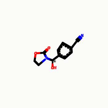 N#Cc1ccc([C@@H](O)N2CCOC2=O)cc1